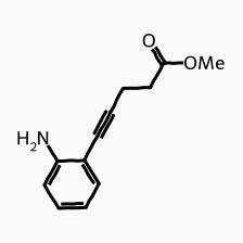 COC(=O)CCC#Cc1ccccc1N